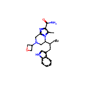 CCCCC(Cc1c[nH]c2ccccc12)C1CN(C2COC2)Cc2nc(C(N)=O)c(C)n21